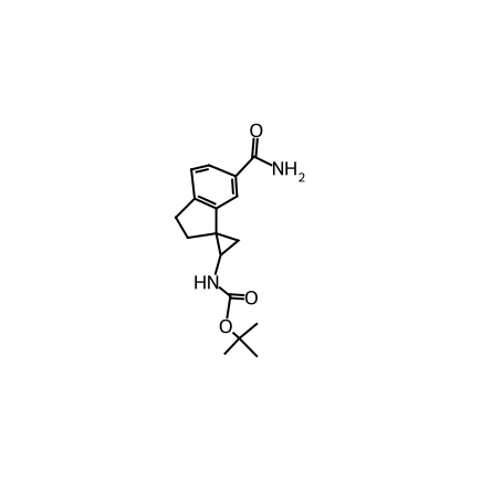 CC(C)(C)OC(=O)NC1CC12CCc1ccc(C(N)=O)cc12